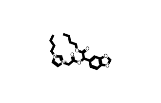 CCCCOC(=O)C(OC(=O)C[n+]1ccn(CCCC)c1)c1ccc2c(c1)OCO2